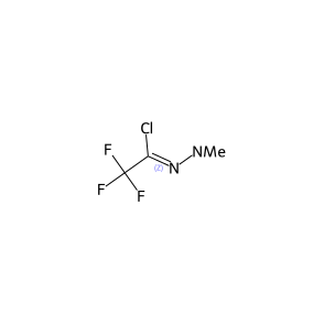 CN/N=C(\Cl)C(F)(F)F